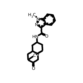 Cn1nc(C(=O)NC2CC3CC4CC(C2)N3CC4=O)c2ccccc21